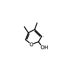 CC1=[C]C(O)OC=C1C